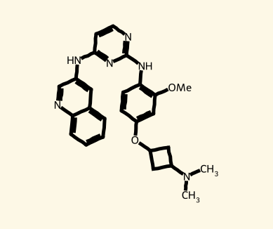 COc1cc(OC2CC(N(C)C)C2)ccc1Nc1nccc(Nc2cnc3ccccc3c2)n1